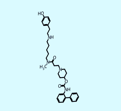 CN(CCCCCNCCc1ccc(O)cc1)C(=O)CCN1CCC(OC(=O)Nc2ccccc2-c2ccccc2)CC1